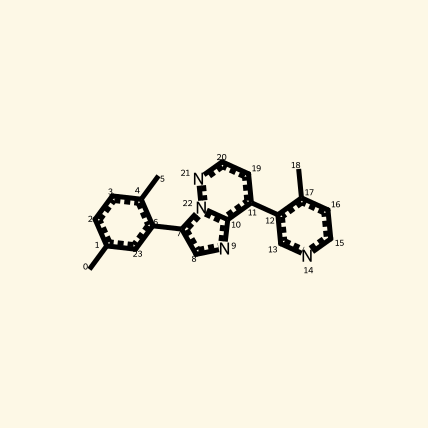 Cc1ccc(C)c(-c2cnc3c(-c4cnccc4C)ccnn23)c1